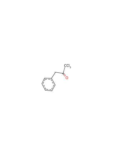 O=C([CH]c1ccccc1)C(Cl)(Cl)Cl